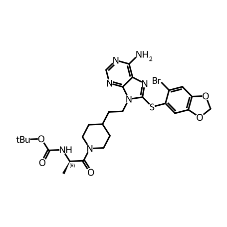 C[C@@H](NC(=O)OC(C)(C)C)C(=O)N1CCC(CCn2c(Sc3cc4c(cc3Br)OCO4)nc3c(N)ncnc32)CC1